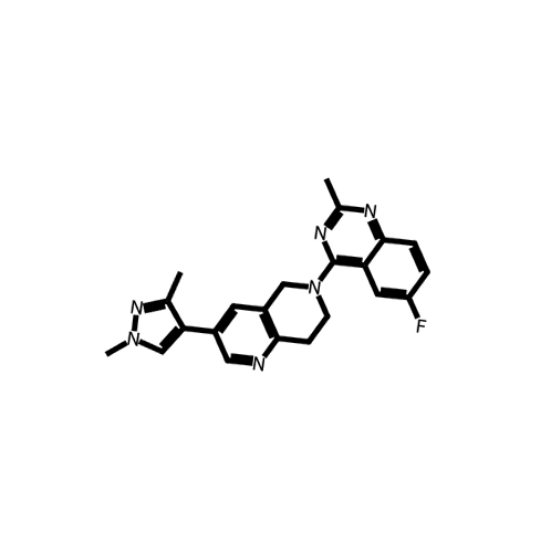 Cc1nc(N2CCc3ncc(-c4cn(C)nc4C)cc3C2)c2cc(F)ccc2n1